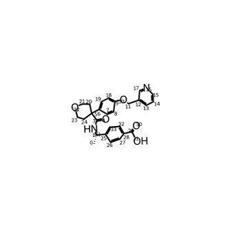 C[C@H](NC(=O)C1(c2ccc(OCc3cccnc3)cc2)CCOCC1)c1ccc(C(=O)O)cc1